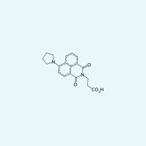 O=C(O)CCN1C(=O)c2cccc3c(N4CCCC4)ccc(c23)C1=O